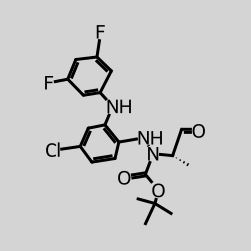 C[C@@H](C=O)N(Nc1ccc(Cl)cc1Nc1cc(F)cc(F)c1)C(=O)OC(C)(C)C